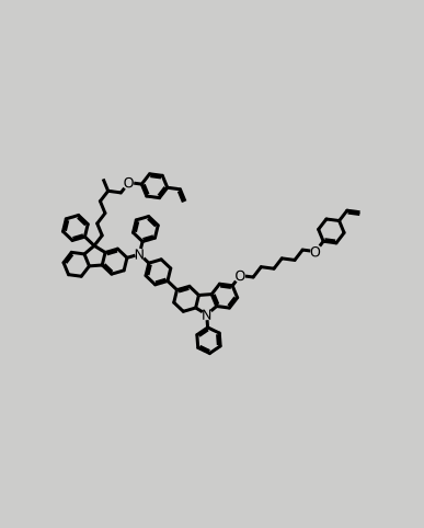 C=Cc1ccc(OCC(C)CCCCC2(c3ccccc3)C3=CC(N(C4=CC=C(C5=CC6c7cc(OCCCCCCOC8=CCC(C=C)CC8)ccc7N(c7ccccc7)C6CC5)CC4)c4ccccc4)CC=C3C3CCC=CC32)cc1